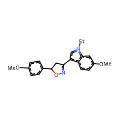 CCn1cc(C2=NOC(c3ccc(OC)cc3)C2)c2ccc(OC)cc21